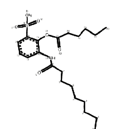 CCCCCCCCC(=O)Nc1cccc(S(=O)(=O)O)c1OC(=O)CCCCC